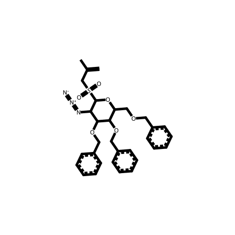 C=C(C)CS(=O)(=O)C1OC(COCc2ccccc2)C(OCc2ccccc2)C(OCc2ccccc2)C1N=[N+]=[N-]